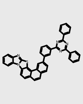 c1ccc(-c2nc(-c3ccccc3)nc(-c3cccc(-c4ccc5ccc6ccc7c(sc8nc9ccccc9n87)c6c5c4)c3)n2)cc1